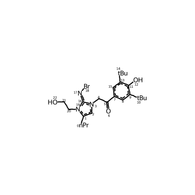 CCCc1cn(CC(=O)c2cc(C(C)(C)C)c(O)c(C(C)(C)C)c2)/c(=N\Br)n1CCO